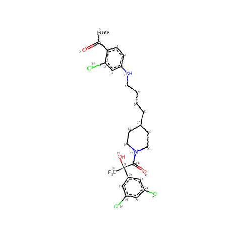 CNC(=O)c1ccc(NCCCCC2CCN(C(=O)C(O)(c3cc(Cl)cc(Cl)c3)C(F)(F)F)CC2)cc1Cl